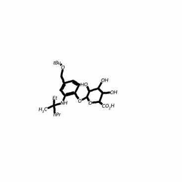 CCCC(C)(CC)Nc1cc(COC(C)(C)C)ccc1OC1OC(C(=O)O)C(O)C(O)C1O